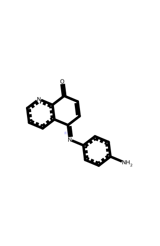 Nc1ccc(/N=C2\C=CC(=O)c3ncccc32)cc1